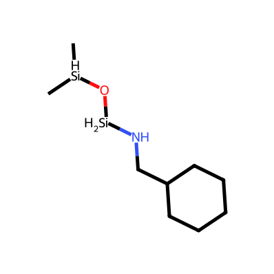 C[SiH](C)O[SiH2]NCC1CCCCC1